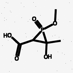 COP1(=O)C(C(=O)O)C1(C)O